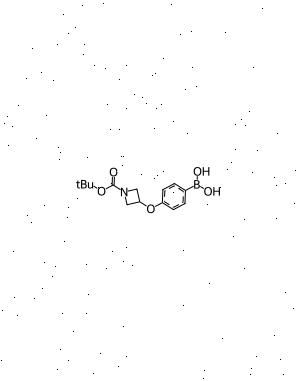 CC(C)(C)OC(=O)N1CC(Oc2ccc(B(O)O)cc2)C1